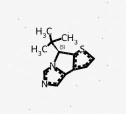 CC(C)(C)[C@H]1c2sccc2-c2cncn21